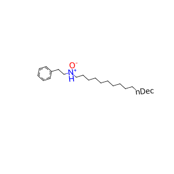 CCCCCCCCCCCCCCCCCCCC[NH+]([O-])CCc1ccccc1